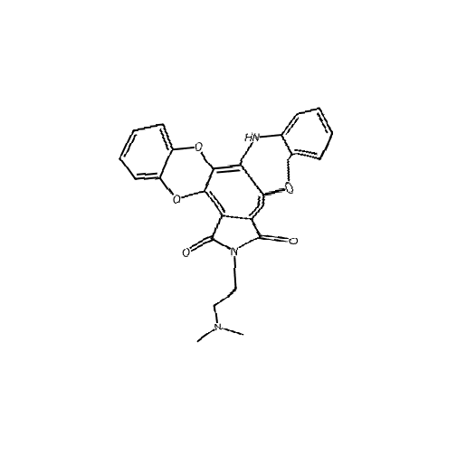 CN(C)CCn1c(=O)c2c3oc4ccccc4[nH]c3c3oc4ccccc4oc3c2c1=O